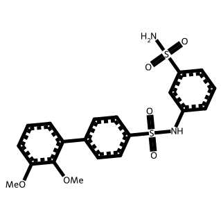 COc1cccc(-c2ccc(S(=O)(=O)Nc3cccc(S(N)(=O)=O)c3)cc2)c1OC